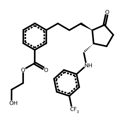 O=C(OCCO)c1cccc(CCC[C@H]2C(=O)CC[C@@H]2CNc2cccc(C(F)(F)F)c2)c1